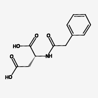 O=C(O)C[C@@H](NC(=O)Cc1ccccc1)C(=O)O